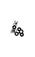 O=S(=O)(NC1CCCC(=C2c3ccccc3CCc3ccccc32)C1)c1ccc(OC(F)(F)F)cc1